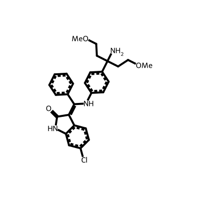 COCCC(N)(CCOC)c1ccc(NC(=C2C(=O)Nc3cc(Cl)ccc32)c2ccccc2)cc1